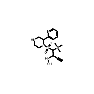 C#CC(NO)C([Si](C)(C)C)S(=O)(=O)N1CCNCC1c1ccccn1